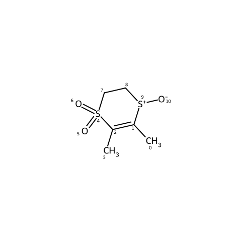 CC1=C(C)S(=O)(=O)CC[S+]1[O-]